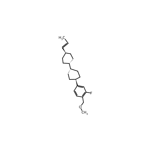 C/C=C/[C@H]1CC[C@H]([C@H]2CC[C@H](c3ccc(COC)c(F)c3)CC2)CC1